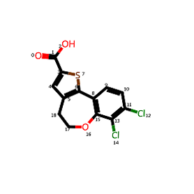 O=C(O)c1cc2c(s1)-c1ccc(Cl)c(Cl)c1OCC2